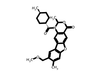 COCc1cc2c(cc1C)oc1cc3c(cc12)N(C(=O)[C@H]1CC[C@H](C)CC1)C(C)OC3=O